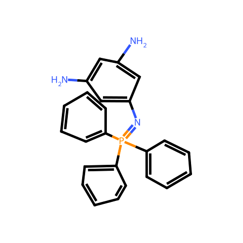 Nc1cc(N)cc(N=P(c2ccccc2)(c2ccccc2)c2ccccc2)c1